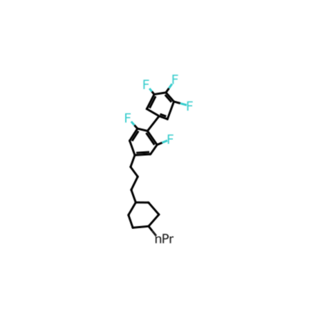 CCCC1CCC(CCCc2cc(F)c(-c3cc(F)c(F)c(F)c3)c(F)c2)CC1